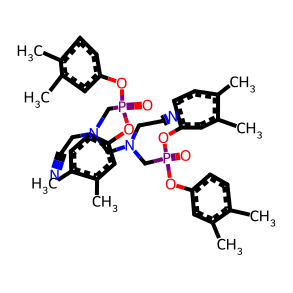 Cc1ccc(OP(=O)(CN(CC#N)CN(CC#N)CP(=O)(Oc2ccc(C)c(C)c2)Oc2ccc(C)c(C)c2)Oc2ccc(C)c(C)c2)cc1C